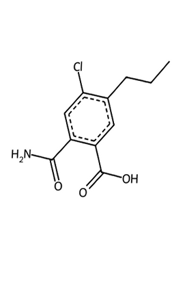 CCCc1cc(C(=O)O)c(C(N)=O)cc1Cl